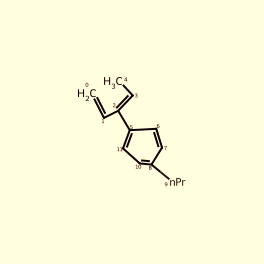 C=C/C(=C\C)c1ccc(CCC)cc1